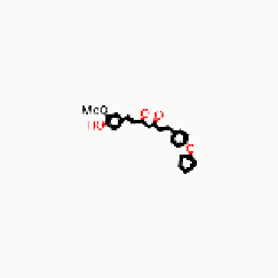 COc1cc(C=CC(=O)CC(=O)C=Cc2ccc(Oc3ccccc3)cc2)ccc1O